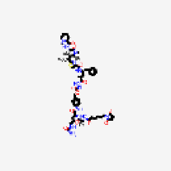 CC[C@H](C)[C@H](NC(=O)C1CCCCN1C)C(=O)N(C)[C@H](C[C@@H](OC(C)=O)c1nc(C(=O)N[C@@H](Cc2ccccc2)C[C@H](C)C(=O)NNC(=O)OCc2ccc(NC(=O)C(CCCNC(N)=O)NC(=O)C(NC(=O)CCCCCN3C(=O)C=CC3=O)C(C)C)cc2)cs1)C(C)C